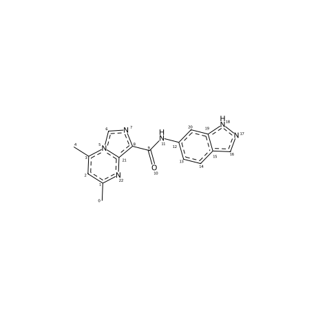 Cc1cc(C)n2cnc(C(=O)Nc3ccc4cn[nH]c4c3)c2n1